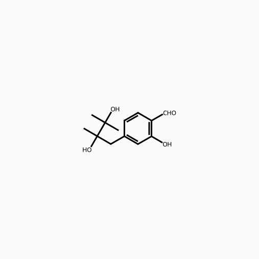 CC(C)(O)C(C)(O)Cc1ccc(C=O)c(O)c1